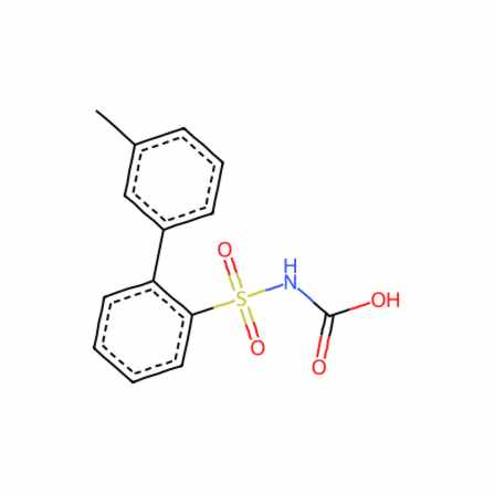 Cc1cccc(-c2ccccc2S(=O)(=O)NC(=O)O)c1